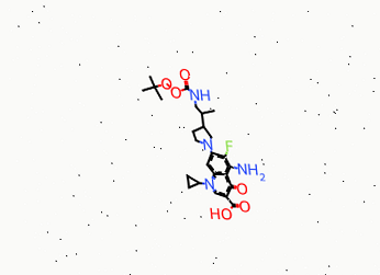 CC(CNC(=O)OOC(C)(C)C)C1CCN(c2cc3c(c(N)c2F)c(=O)c(C(=O)O)cn3C2CC2)C1